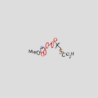 COC(=O)/C=C\C(=O)OCCOC(=O)C(C)(C)CSCC(=O)O